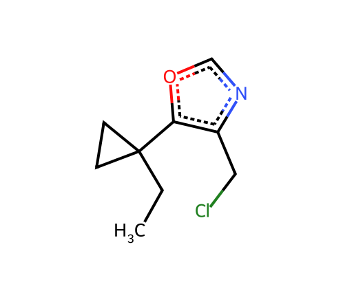 CCC1(c2ocnc2CCl)CC1